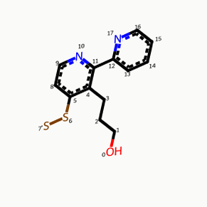 OCCCc1c(S[S])ccnc1-c1ccccn1